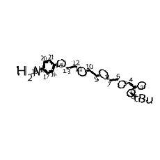 CC(C)(C)OC(=O)COCCOCCOCCOc1ccc(N)cc1